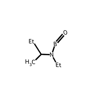 CCC(C)N(B=O)CC